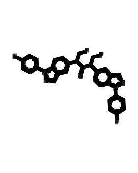 O=C(C(CF)c1ccc2c(cnn2-c2ccc(F)cc2)c1)C(CF)c1ccc2c(cnn2-c2ccc(F)cc2)c1